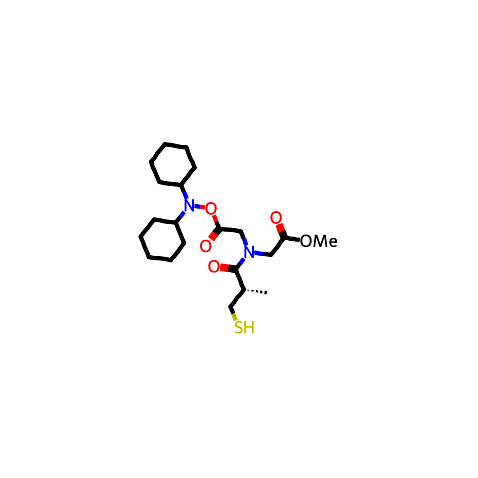 COC(=O)CN(CC(=O)ON(C1CCCCC1)C1CCCCC1)C(=O)[C@H](C)CS